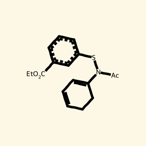 CCOC(=O)c1cccc(SN(C(C)=O)C2=CC=CCC2)c1